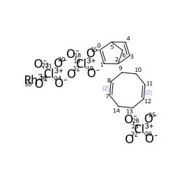 C1=CC2C=CC1C2.C1=C\CC/C=C\CC/1.[O-][Cl+3]([O-])([O-])[O-].[O-][Cl+3]([O-])([O-])[O-].[O-][Cl+3]([O-])([O-])[O-].[Rh+3]